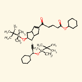 CC(C)(C)[Si](C)(C)O[C@H]1CC2C=C(C(=O)CCCC(=O)OC3CCCCC3)CC2[C@@H]1C#C[C@@H](O[Si](C)(C)C(C)(C)C)C1CCCCC1